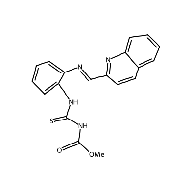 COC(=O)NC(=S)Nc1ccccc1N=Cc1ccc2ccccc2n1